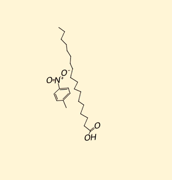 CCCCCCCCCCCCCCCCCC(=O)O.Cc1ccc([N+](=O)[O-])cc1